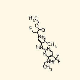 CCNc1nc(Nc2cn(C(CF)C(=O)OCC)nc2C)ncc1C(F)(F)F